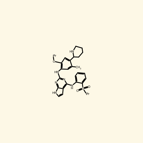 Cc1cc(Nc2nc(Nc3ccccc3S(=O)(=O)C(C)C)c3cc[nH]c3n2)c(OC(C)C)cc1C1CCCCN1